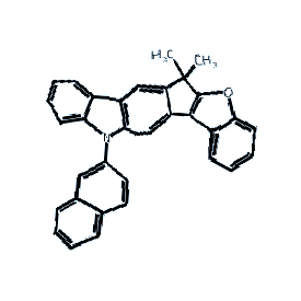 CC1(C)c2cc3c4ccccc4n(-c4ccc5ccccc5c4)c3cc2-c2c1oc1ccccc21